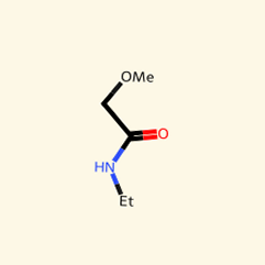 [CH2]CNC(=O)COC